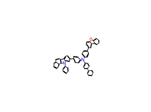 c1ccc(-c2ccc(N(c3ccc(-c4ccc5oc6ccccc6c5c4)cc3)c3ccc(-c4ccc5c6ccc7ccccc7c6n(-c6ccccc6)c5c4)cc3)cc2)cc1